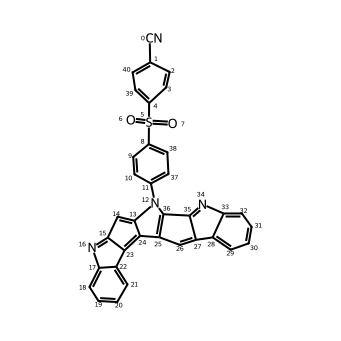 N#Cc1ccc(S(=O)(=O)c2ccc(-n3c4cc5nc6ccccc6c-5c4c4cc5c6ccccc6nc-5c43)cc2)cc1